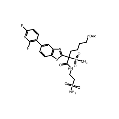 CCCCCCCCCCCCCCC(C(=O)NCCS(N)(=O)=O)(c1nc2cc(-c3ccc(F)nc3F)ccc2s1)S(C)(=O)=O